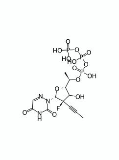 CC#C[C@@]1(F)C(O)[C@@H]([C@@H](C)OP(=O)(O)OP(=O)(O)OP(=O)(O)O)O[C@H]1n1ncc(=O)[nH]c1=O